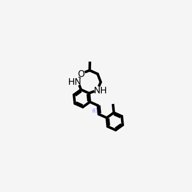 Cc1ccccc1/C=C/c1cccc2c1NCCC(C)ON2